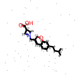 CC(C)CCc1ccc2c(c1)OCC(CN1CC(C(=O)O)C1)=C2